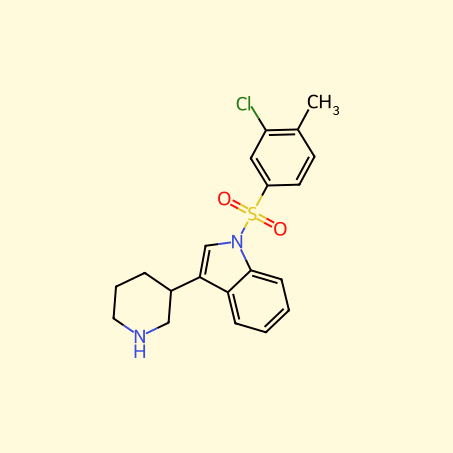 Cc1ccc(S(=O)(=O)n2cc(C3CCCNC3)c3ccccc32)cc1Cl